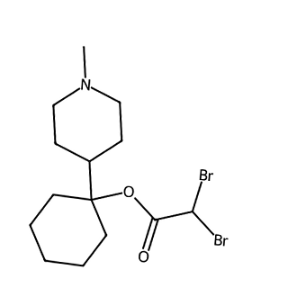 CN1CCC(C2(OC(=O)C(Br)Br)CCCCC2)CC1